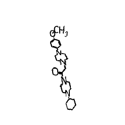 COc1ccc(N2CCN(CC(=O)N3CCN(C4CCCCC4)CC3)CC2)cc1